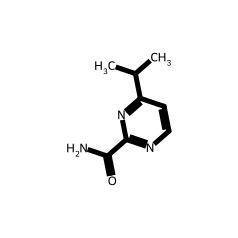 CC(C)c1ccnc(C(N)=O)n1